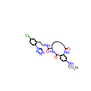 O=C(O)Nc1ccc2c(c1)NC(=O)CCCCCC(C(=O)NCCc1cc(Cl)ccc1-n1cnnn1)NC2=O